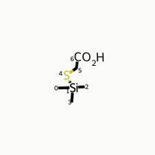 C[Si](C)(C)SCC(=O)O